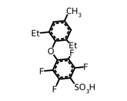 CCc1cc(C)cc(CC)c1Oc1c(F)c(F)c(S(=O)(=O)O)c(F)c1F